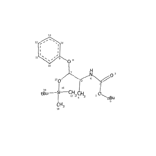 CCCCOC(=O)NC(C)C(Oc1ccccc1)O[Si](C)(C)C(C)(C)C